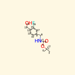 CC(C)(C)OC(=O)NCc1ccc(CO)c(F)c1